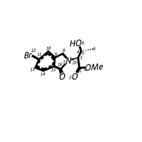 COC(=O)[C@H]([C@@H](C)O)N1Cc2cc(Br)ccc2C1=O